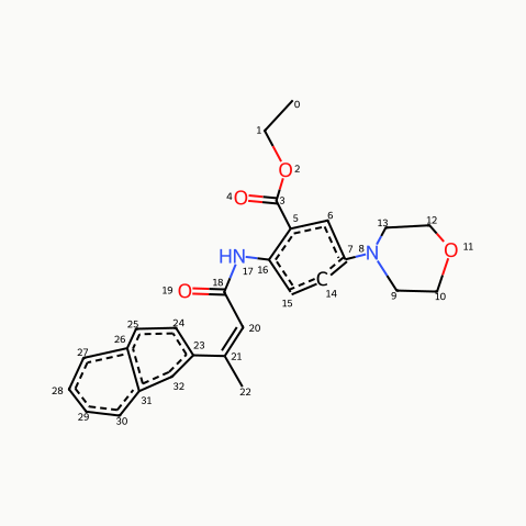 CCOC(=O)c1cc(N2CCOCC2)ccc1NC(=O)/C=C(/C)c1ccc2ccccc2c1